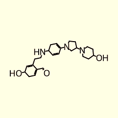 O=CC1=CCC(O)C=C1CCNC1C=CC(N2CCC(N3CCC(O)CC3)C2)=CC1